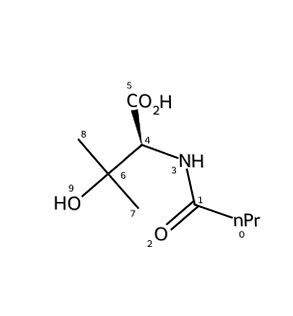 CCCC(=O)N[C@H](C(=O)O)C(C)(C)O